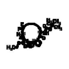 CCOC(=O)[C@@]12C[C@H]1CC(F)(F)CCCCC[C@H](NC(=O)OC(C)(C)C)C(=O)N1CCC[C@]1(O)C(=O)N2